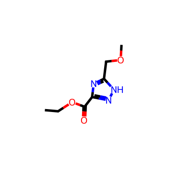 CCOC(=O)c1n[nH]c(COC)n1